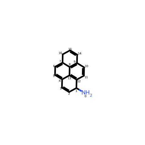 NC1C=Cc2ccc3c4c(ccc1c24)C=CC3